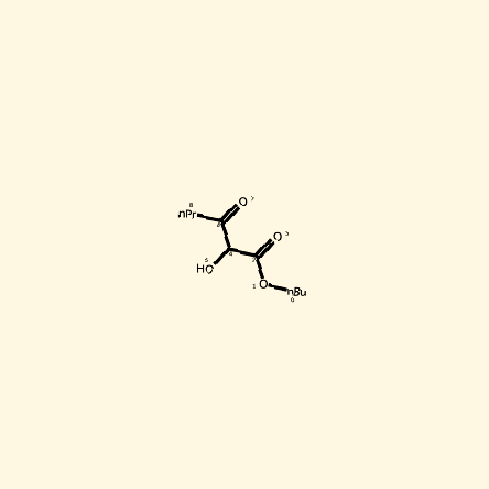 CCCCOC(=O)C(O)C(=O)CCC